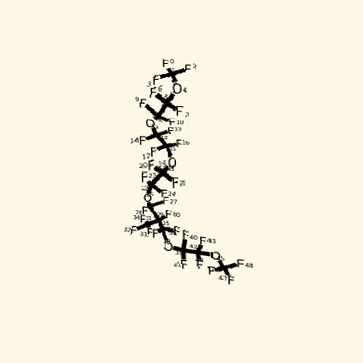 FC(F)(F)OC(F)(F)C(F)(F)OC(F)(F)C(F)(F)OC(F)(F)C(F)(F)OC(F)(F)C(F)(C(F)(F)F)C(F)(F)OC(F)(F)C(F)(F)OC(F)(F)F